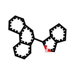 c1ccc2c(-c3cc4ccccc4c4ccccc34)occ2c1